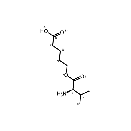 CC(C)[C@@H](N)C(=O)OCCCCC(=O)O